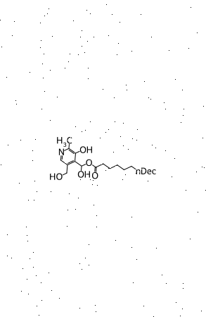 CCCCCCCCCCCCCCCC(=O)OC(O)c1c(CO)cnc(C)c1O